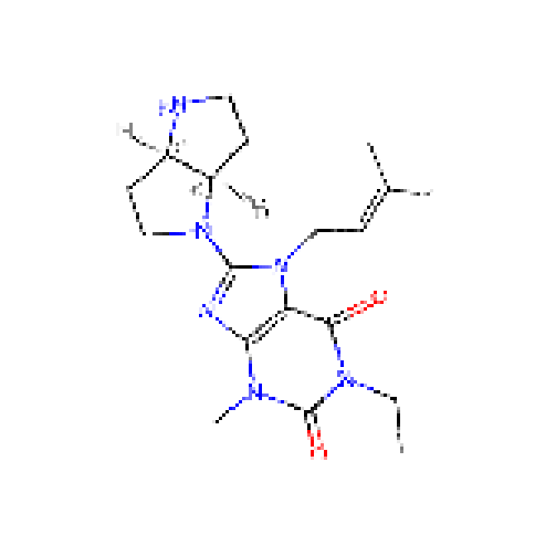 CCn1c(=O)c2c(nc(N3CC[C@H]4NCC[C@H]43)n2CC=C(C)C)n(C)c1=O